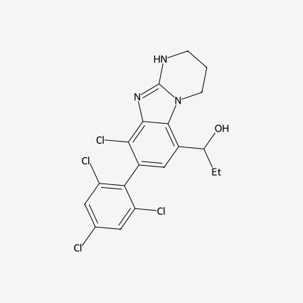 CCC(O)c1cc(-c2c(Cl)cc(Cl)cc2Cl)c(Cl)c2nc3n(c12)CCCN3